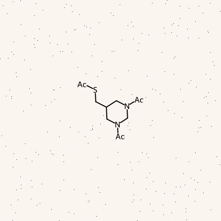 CC(=O)SCC1CN(C(C)=O)CN(C(C)=O)C1